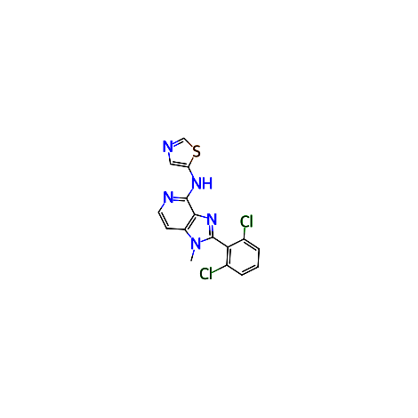 Cn1c(-c2c(Cl)cccc2Cl)nc2c(Nc3cncs3)nccc21